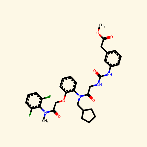 COC(=O)Cc1cccc(NC(=O)NCC(=O)N(CC2CCCC2)c2ccccc2OCC(=O)N(C)c2c(F)cccc2F)c1